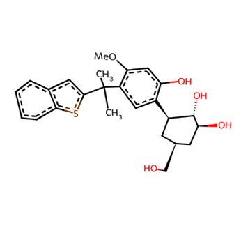 COc1cc(O)c([C@@H]2C[C@H](CO)C[C@H](O)[C@H]2O)cc1C(C)(C)c1cc2ccccc2s1